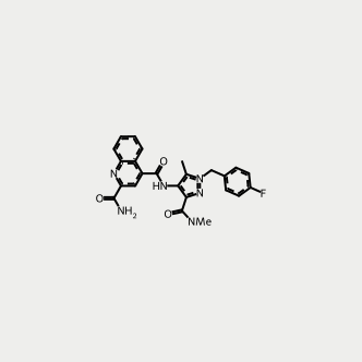 CNC(=O)c1nn(Cc2ccc(F)cc2)c(C)c1NC(=O)c1cc(C(N)=O)nc2ccccc12